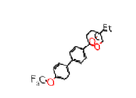 CCC12CCC(c3ccc(-c4ccc(OC(F)(F)F)cc4)cc3)(OC1)OC2